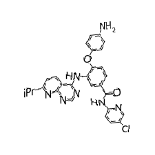 CC(C)c1ccc2c(Nc3cc(C(=O)Nc4ccc(Cl)cn4)ccc3Oc3ccc(N)cc3)ncnc2n1